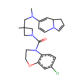 CN(CC1(C)CN(C(=O)N2CCOc3cc(Cl)ccc32)C1)C1=CC2CC=CN2C=C1